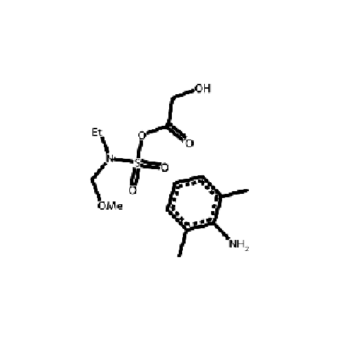 CCN(COC)S(=O)(=O)OC(=O)CO.Cc1cccc(C)c1N